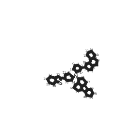 c1cc(-c2ccc3ccc4ccccc4c3c2)cc(N(c2ccc(-c3cc4ccccc4s3)cc2)c2ccc3c4c(cccc24)-c2ccccc2-3)c1